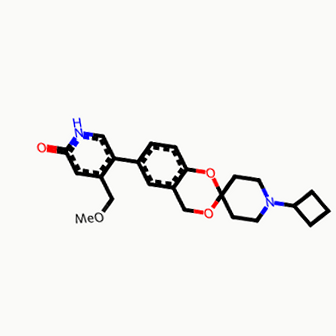 COCc1cc(=O)[nH]cc1-c1ccc2c(c1)COC1(CCN(C3CCC3)CC1)O2